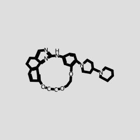 c1cc(N2CCC(N3CCCCC3)CC2)c2cc1Nc1ncc3c(n1)-c1cc(ccc1CC3)OCCOCCO2